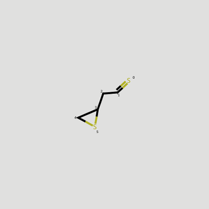 S=[C]CC1CS1